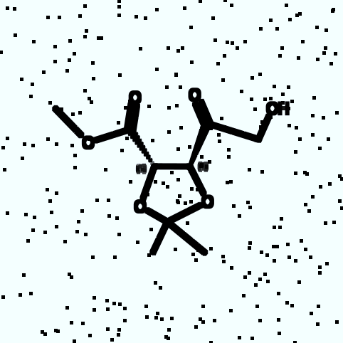 COC(=O)[C@H]1OC(C)(C)O[C@@H]1C(=O)CO